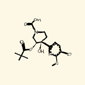 COc1nc([C@@]2(O)CCN(C(=O)O)C[C@@H]2OC(=O)C(C)(C)C)ccc1Cl